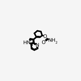 NC(=O)OC1C=C(c2c[nH]c3cccnc23)CCC1